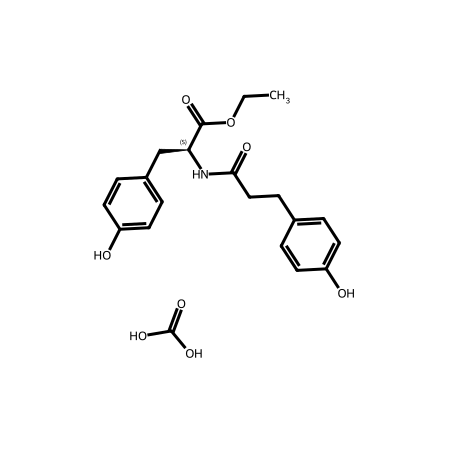 CCOC(=O)[C@H](Cc1ccc(O)cc1)NC(=O)CCc1ccc(O)cc1.O=C(O)O